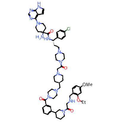 CCOc1cc(OC)ccc1CNCC(=O)N1CCCC(c2cccc(C(=O)N3CCN(CC4CCN(CC(=O)N5CCN(CC[C@H](NC(=O)C6(N)CCN(c7ncnc8[nH]ccc78)CC6)c6ccc(Cl)cc6)CC5)CC4)CC3)c2)C1